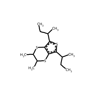 CCC(C)c1sc(C(C)CC)c2c1SC(C)C(C)S2